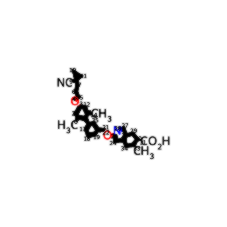 Cc1cc(OCCCC2(C#N)CC2)cc(C)c1-c1cccc(COc2cc3c(cn2)C[C@@H](C(=O)O)[C@@H](C)C3)c1